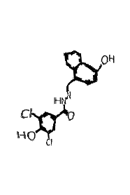 O=C(N/N=C/c1ccc(O)c2ccccc12)c1cc(Cl)c(O)c(Cl)c1